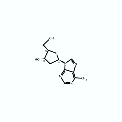 Cc1ncnc2c1ncn2[C@H]1C[C@H](O)[C@@H](CO)O1